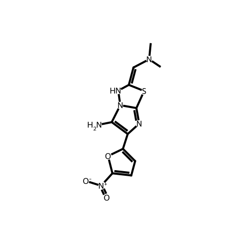 CN(C)C=C1Nn2c(nc(-c3ccc([N+](=O)[O-])o3)c2N)S1